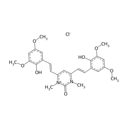 COc1cc(C=Cc2cc(C=Cc3cc(OC)cc(OC)c3O)[n+](C)c(=O)n2C)c(O)c(OC)c1.[Cl-]